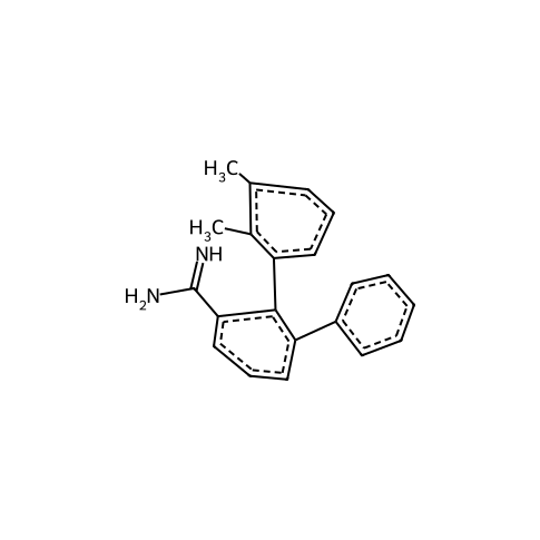 Cc1cccc(-c2c(C(=N)N)cccc2-c2ccccc2)c1C